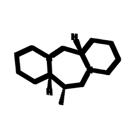 C[C@H]1CN2CCCC[C@H]2CN2CCCC[C@H]12